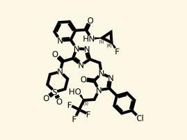 O=C(N[C@H]1C[C@H]1F)c1cccnc1-n1nc(Cn2nc(-c3ccc(Cl)cc3)n(C[C@H](O)C(F)(F)F)c2=O)nc1C(=O)N1CCS(=O)(=O)CC1